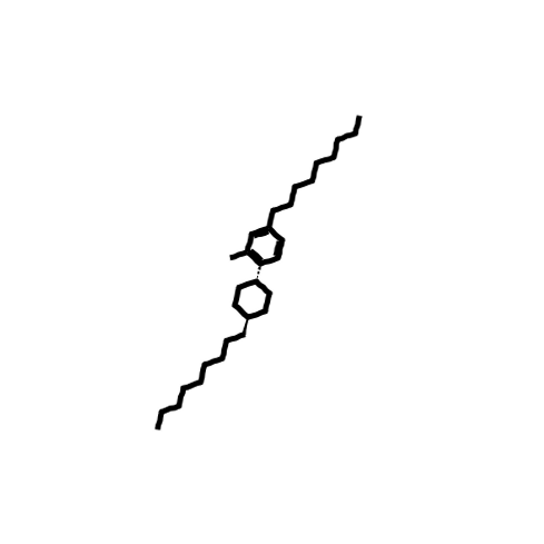 CCCCCCCCCc1ccc([C@H]2CC[C@H](CCCCCCCCC)CC2)c(C)c1